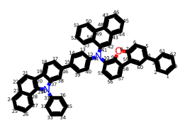 c1ccc(-c2ccc3oc4c(N(c5ccc(-c6ccc7c8ccc9ccccc9c8n(-c8ccccc8)c7c6)cc5)c5cc6ccccc6c6ccccc56)cccc4c3c2)cc1